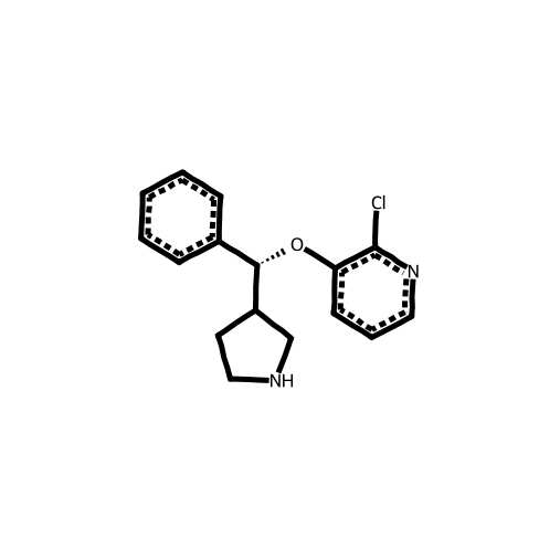 Clc1ncccc1O[C@@H](c1ccccc1)C1CCNC1